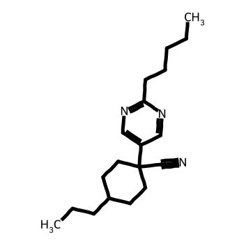 CCCCCc1ncc(C2(C#N)CCC(CCC)CC2)cn1